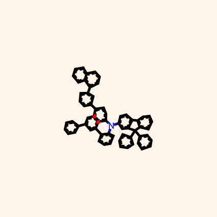 c1ccc(-c2cccc(-c3ccccc3N(c3ccc(-c4cccc(-c5cccc6ccccc56)c4)cc3)c3ccc4c(c3)C(c3ccccc3)(c3ccccc3)c3ccccc3-4)c2)cc1